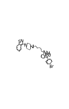 O=S(=O)(NCCCCN1CCN(c2nsc3ccccc23)CC1)c1ccc(Br)cc1